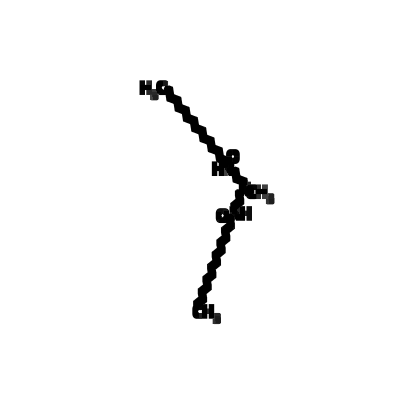 CCCCCCCCCCCCCCCC(=O)NCCCN(C)CCCNC(=O)CCCCCCCCCCCCCCC